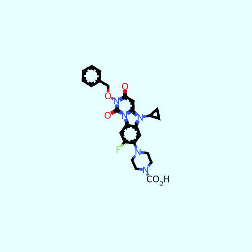 O=C(O)N1CCN(c2cc3c(cc2F)n2c(=O)n(OCc4ccccc4)c(=O)cc2n3C2CC2)CC1